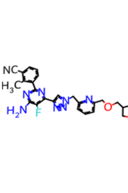 Cc1c(C#N)cccc1-c1nc(N)c(F)c(-c2cn(Cc3cccc(COCC4CCOC4)n3)nn2)n1